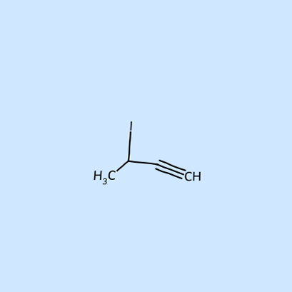 C#CC(C)I